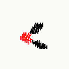 O.O.O.O.O.[NaH].[NaH].[NaH].[NaH].[NaH].[NaH].[NaH].[NaH].[NaH].[NaH]